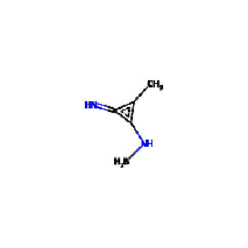 BNc1c(C)c1=N